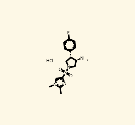 Cc1nc(S(=O)(=O)N2C[C@H](c3ccc(F)cc3)[C@@H](N)C2)cn1C.Cl